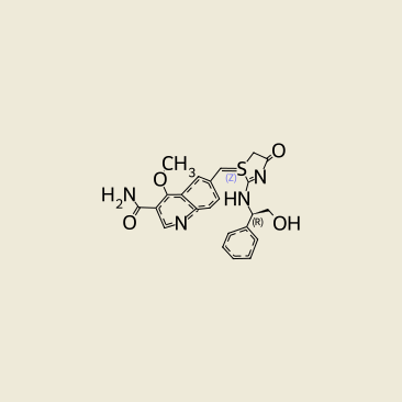 COc1c(C(N)=O)cnc2ccc(/C=S3/CC(=O)N=C3N[C@@H](CO)c3ccccc3)cc12